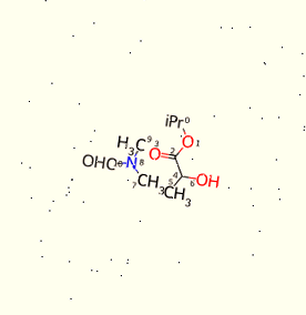 CC(C)OC(=O)C(C)O.CN(C)C=O